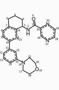 O=C(NC1CCCc2ccc(-c3cccc(N4CCOCC4)c3)nc21)c1cnccn1